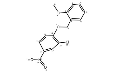 COc1ccccc1COc1ccc([N+](=O)[O-])cc1Cl